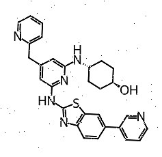 O[C@H]1CC[C@H](Nc2cc(Cc3ccccn3)cc(Nc3nc4ccc(-c5cccnc5)cc4s3)n2)CC1